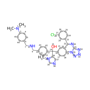 CN(C)c1ccc(CNCc2ccc(C(O)(c3ccc4c(c3)c(-c3cccc(Cl)c3)nc3nnnn34)c3cncn3C)cc2)cc1